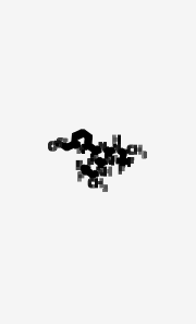 C[C@@H](Nc1nc(N[C@H](C)C(F)(F)F)nc(-c2cccc(C[S+]=O)n2)n1)C(F)(F)F